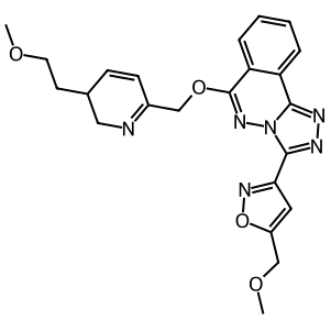 COCCC1C=CC(COc2nn3c(-c4cc(COC)on4)nnc3c3ccccc23)=NC1